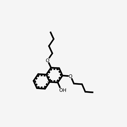 CCCCOc1cc(OCCCC)c2ccccc2c1O